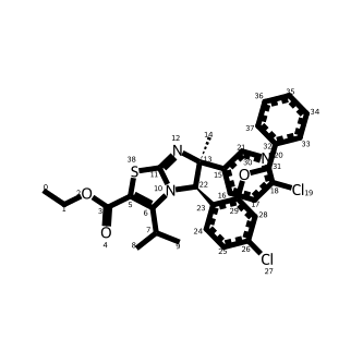 CCOC(=O)C1=C(C(C)C)N2C(=N[C@@](C)(c3ccc(Cl)nc3)[C@H]2c2ccc(Cl)cc2OCc2ccccc2)S1